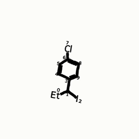 CCC(I)c1ccc(Cl)cc1